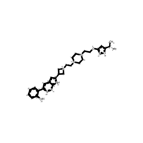 CC(C)[C@@H](C)c1cc(OCCN2CCN(CCN3CC(c4cc5cc(-c6ccccc6O)nnc5[nH]4)C3)CC2)no1